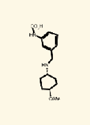 CO[C@H]1CC[C@H](NCc2cccc(NC(=O)O)c2)CC1